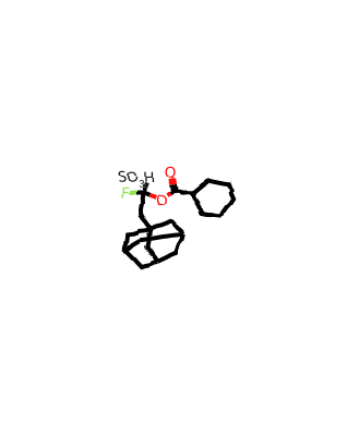 O=C(OC(F)(CC12CC3CC(CC(C3)C1)C2)S(=O)(=O)O)C1CCCCC1